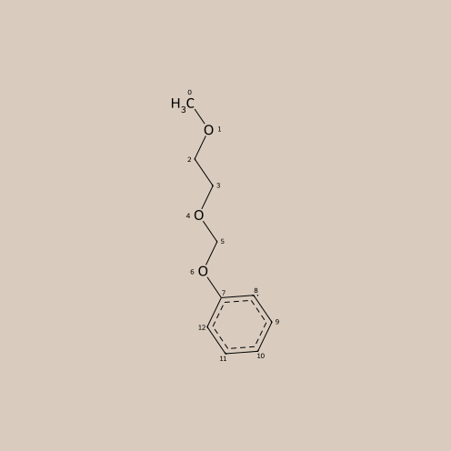 COCCOCOc1[c]cccc1